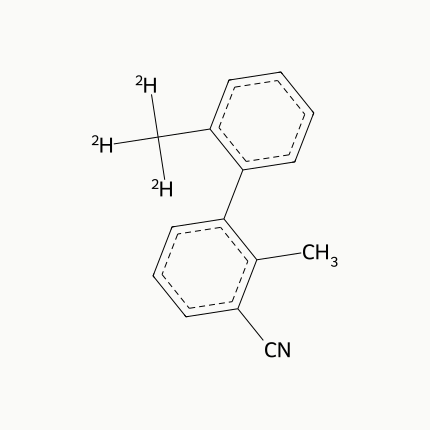 [2H]C([2H])([2H])c1ccccc1-c1cccc(C#N)c1C